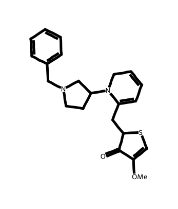 COC1=CSC(CC2=CC=CCN2C2CCN(Cc3ccccc3)C2)C1=O